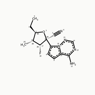 CC[C@H]1O[C@@](C#N)(c2ccc3c(N)ncnn23)[C@H](F)[C@@H]1C